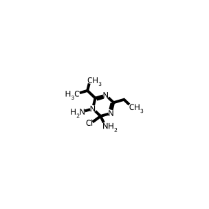 CCC1=NC(N)(Cl)N(N)C(C(C)C)=N1